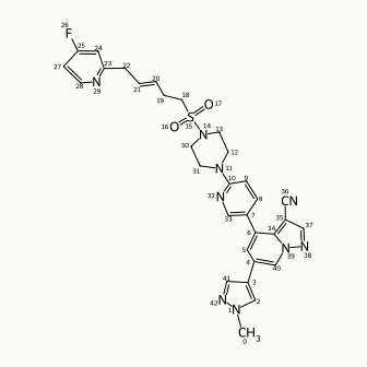 Cn1cc(-c2cc(-c3ccc(N4CCN(S(=O)(=O)CC/C=C/Cc5cc(F)ccn5)CC4)nc3)c3c(C#N)cnn3c2)cn1